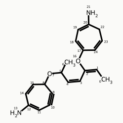 C/C=C(\C=C/C(C)OC1C#CC=C(N)C=C1)OC1=CC=C(N)CC=C1